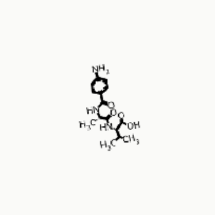 CC(C)[C@H](NC(=O)[C@H](C)NC(=O)c1ccc(N)cc1)C(=O)O